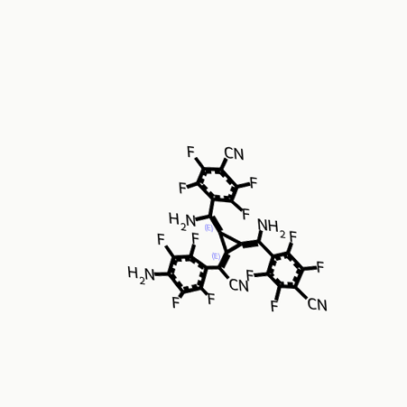 N#C/C(=C1\C(=C(N)c2c(F)c(F)c(C#N)c(F)c2F)\C1=C(\N)c1c(F)c(F)c(C#N)c(F)c1F)c1c(F)c(F)c(N)c(F)c1F